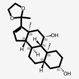 CC1(C2=CC[C@H]3[C@@H]4CC[C@H]5C[C@@H](O)CC[C@]5(C)[C@H]4[C@@H](O)C[C@]23C)OCCO1